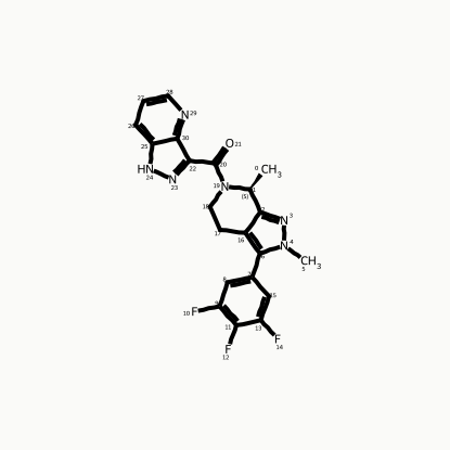 C[C@H]1c2nn(C)c(-c3cc(F)c(F)c(F)c3)c2CCN1C(=O)c1n[nH]c2cccnc12